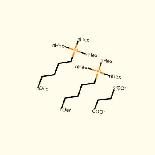 CCCCCCCCCCCCCC[P+](CCCCCC)(CCCCCC)CCCCCC.CCCCCCCCCCCCCC[P+](CCCCCC)(CCCCCC)CCCCCC.O=C([O-])CCC(=O)[O-]